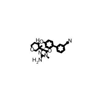 CN1C(=O)[C@]2(N=C1N)c1cc(-c3cccc(C#N)c3)ccc1O[C@H]1CCOCC12C